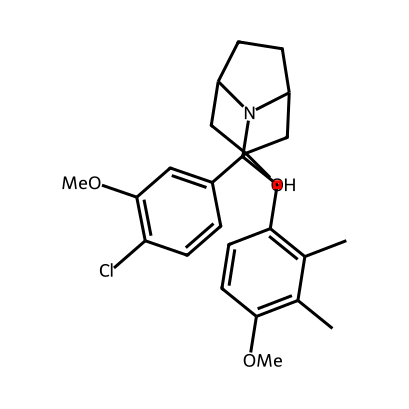 COc1cc(C2(O)CC3CCC(C2)N3CCc2ccc(OC)c(C)c2C)ccc1Cl